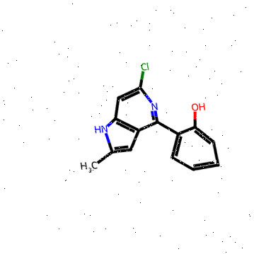 Cc1cc2c(-c3ccccc3O)nc(Cl)cc2[nH]1